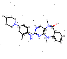 Cc1cc(N2CCC(C)CC2)ccc1Nc1ncc2c(n1)N(C)c1ccccc1C(=O)N2C